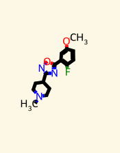 COc1ccc(F)c(-c2nc(C3CCN(C)CC3)no2)c1